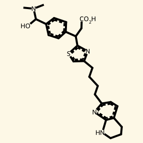 CN(C)C(O)c1ccc(C(CC(=O)O)c2nc(CCCCc3ccc4c(n3)NCCC4)cs2)cc1